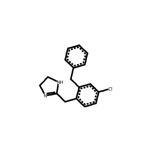 Clc1ccc(CC2=NCCN2)c(Cc2ccccc2)c1